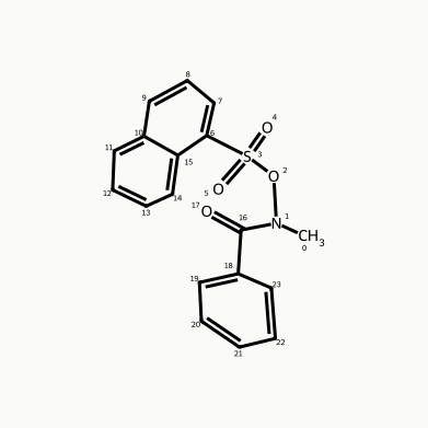 CN(OS(=O)(=O)c1cccc2ccccc12)C(=O)c1ccccc1